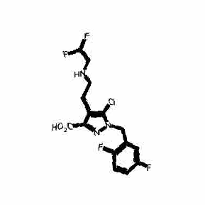 O=C(O)c1nn(Cc2cc(F)ccc2F)c(Cl)c1CCNCC(F)F